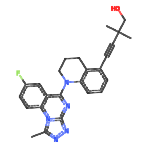 Cc1nnc2nc(N3CCCc4c(C#CC(C)(C)CO)cccc43)c3cc(F)ccc3n12